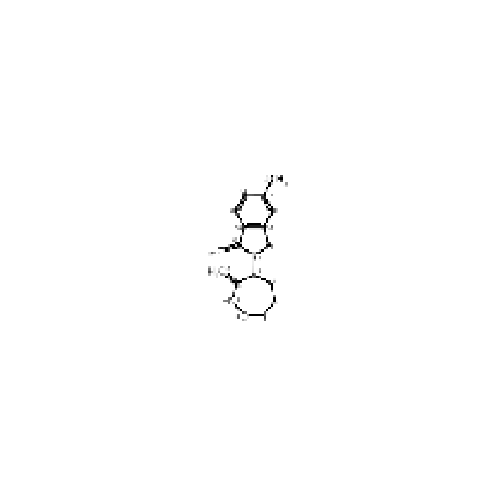 C=C1NOCCCC1N1Cc2cc(C)ccc2C1=O